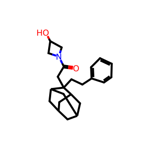 O=C(CC1(CCc2ccccc2)C2CC3CC(C2)CC1C3)N1CC(O)C1